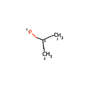 CC(C)[P]